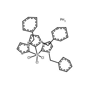 P.[Cl][Ti]([Cl])([Cl])([c]1nccn1Cc1ccccc1)([c]1nccn1Cc1ccccc1)[c]1nccn1Cc1ccccc1